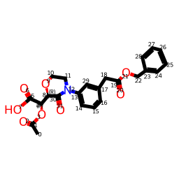 CC(=O)O[C@@H](C(=O)O)[C@H]1OCCN(c2cccc(CC(=O)OCc3ccccc3)c2)C1=O